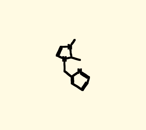 CC1N(C)C=CN1Cc1ccccn1